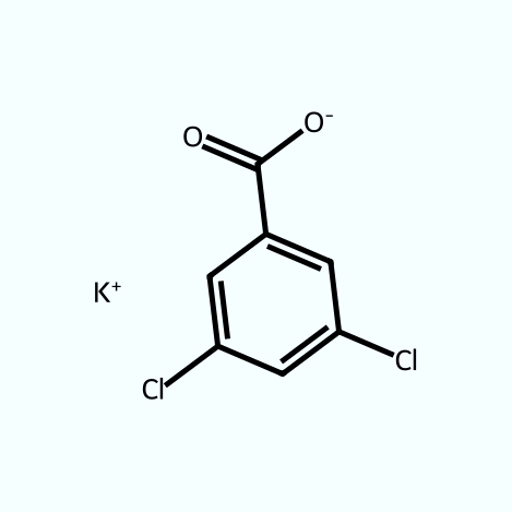 O=C([O-])c1cc(Cl)cc(Cl)c1.[K+]